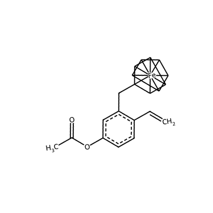 C=Cc1ccc(OC(C)=O)cc1C[C]12[CH]3[CH]4[CH]5[CH]1[Fe]45321678[CH]2[CH]1[CH]6[CH]7[CH]28